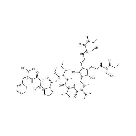 CCC(=O)[C@H](CS)NCSC1C(SCN[C@@H](CS)C(=O)[C@@H](C)CC)C(O)N(CN(C)[C@H](C(=O)N[C@H](C(=O)N(C)C(C(C)CC)[C@H](CC(=O)N2CCC[C@H]2[C@@H](OC)[C@@H](C)C(=O)N[C@@H](CC2=CC=CCC2)C(O)O)OC)C(C)C)C(C)C)C1O